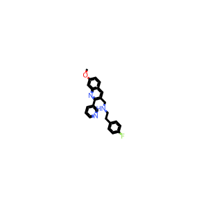 COc1ccc2cc(CNCCc3ccc(F)cc3)c(-c3cccnc3)nc2c1